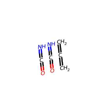 C=C=C.N=C=O.N=C=O